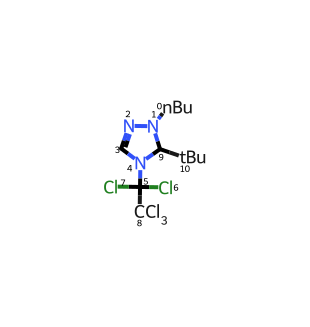 CCCCN1N=CN(C(Cl)(Cl)C(Cl)(Cl)Cl)C1C(C)(C)C